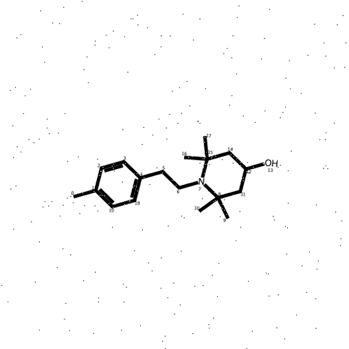 [CH2]c1ccc(CCN2C(C)(C)CC(O)CC2(C)C)cc1